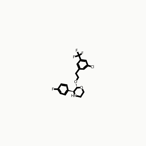 Fc1ccc([C@@H]2NCCO[C@H]2OCCc2cc(Cl)cc(C(F)(F)F)c2)cc1